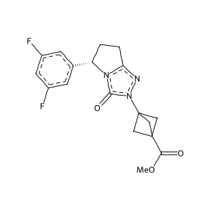 COC(=O)C12CC(n3nc4n(c3=O)[C@H](c3cc(F)cc(F)c3)CC4)(C1)C2